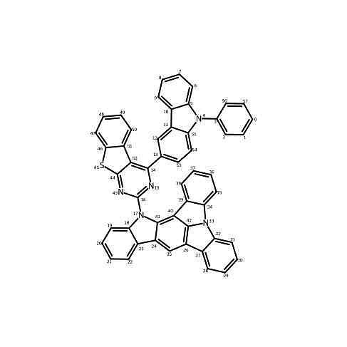 c1ccc(-n2c3ccccc3c3cc(-c4nc(-n5c6ccccc6c6cc7c8ccccc8n8c9ccccc9c(c65)c78)nc5sc6ccccc6c45)ccc32)cc1